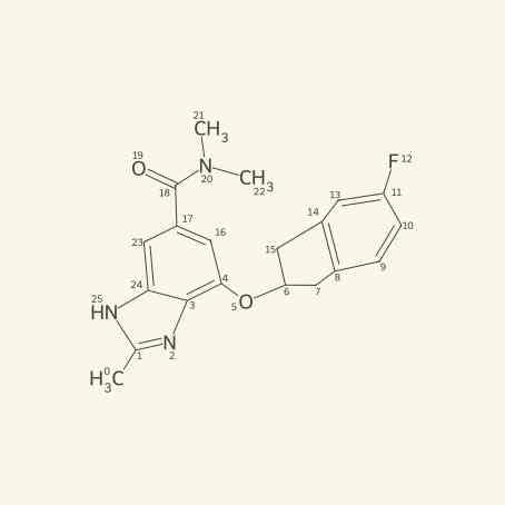 Cc1nc2c(OC3Cc4ccc(F)cc4C3)cc(C(=O)N(C)C)cc2[nH]1